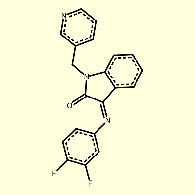 O=C1/C(=N\c2ccc(F)c(F)c2)c2ccccc2N1Cc1cccnc1